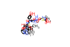 CCCC(=O)OCN(C(=O)[C@@H](NC(=O)[C@H]1CCCCN1C)C(C)C)[C@H](C[C@@H](O)c1nc(C(=O)N[C@@H](Cc2ccc(O)cc2)C[C@H](C)C(=O)NNC(=O)OCCSSC[C@@H](NC(C)=O)C(=O)O)cs1)C(C)C